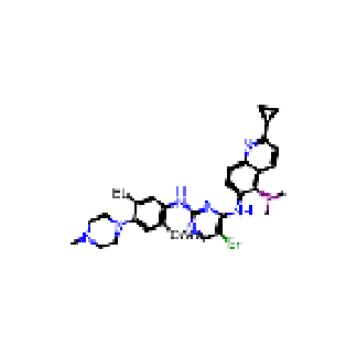 CCc1cc(Nc2ncc(Br)c(Nc3ccc4nc(C5CC5)ccc4c3P(C)C)n2)c(OC)cc1N1CCN(C)CC1